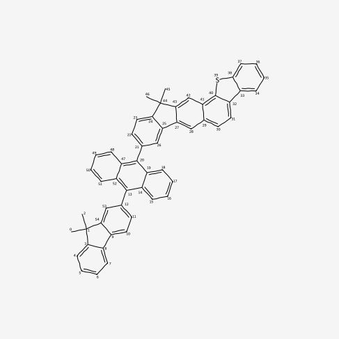 CC1(C)c2ccccc2-c2ccc(-c3c4ccccc4c(-c4ccc5c(c4)-c4cc6ccc7c8ccccc8sc7c6cc4C5(C)C)c4ccccc34)cc21